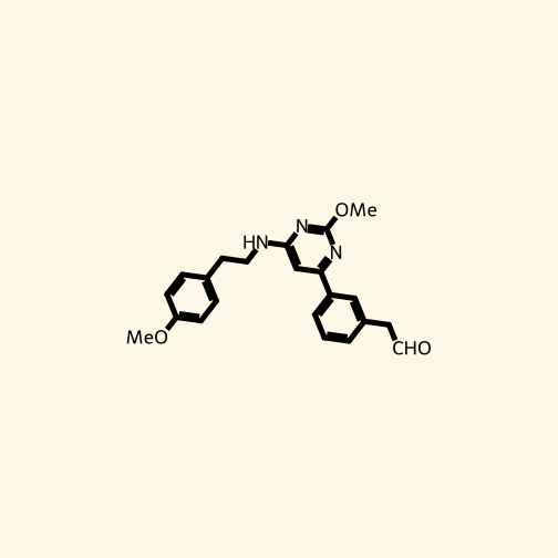 COc1ccc(CCNc2cc(-c3cccc(CC=O)c3)nc(OC)n2)cc1